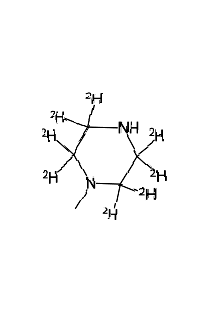 [2H]C1([2H])NC([2H])([2H])C([2H])([2H])N(C)C1([2H])[2H]